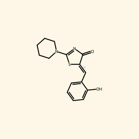 O=C1N=C(N2CCCCC2)S/C1=C\c1ccccc1O